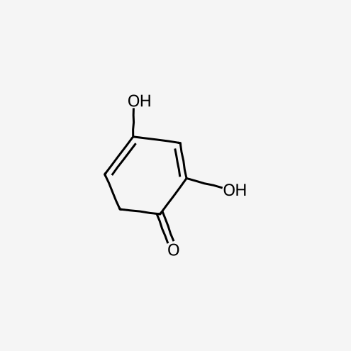 O=C1CC=C(O)C=C1O